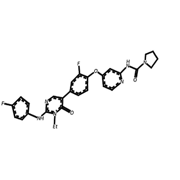 CCn1c(Nc2ccc(F)cc2)ncc(-c2ccc(Oc3ccnc(NC(=O)N4CCCC4)c3)c(F)c2)c1=O